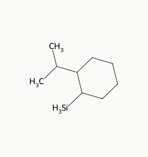 CC(C)C1CCCCC1[SiH3]